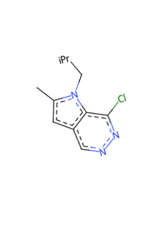 Cc1cc2cnnc(Cl)c2n1CC(C)C